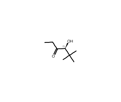 CCC(=O)[C@@H](O)C(C)(C)C